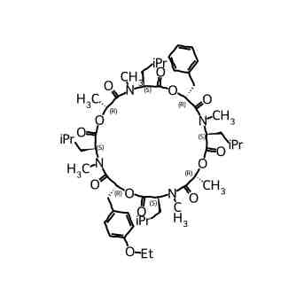 CCOc1ccc(C[C@H]2OC(=O)[C@H](CC(C)C)N(C)C(=O)[C@@H](C)OC(=O)[C@H](CC(C)C)N(C)C(=O)[C@@H](Cc3ccccc3)OC(=O)[C@H](CC(C)C)N(C)C(=O)[C@@H](C)OC(=O)[C@H](CC(C)C)N(C)C2=O)cc1